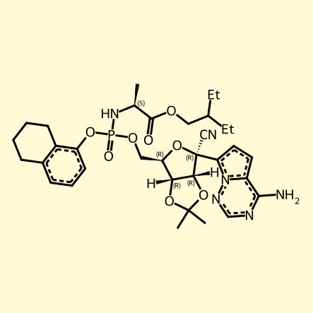 CCC(CC)COC(=O)[C@H](C)NP(=O)(OC[C@H]1O[C@@](C#N)(c2ccc3c(N)ncnn23)[C@@H]2OC(C)(C)O[C@@H]21)Oc1cccc2c1CCCC2